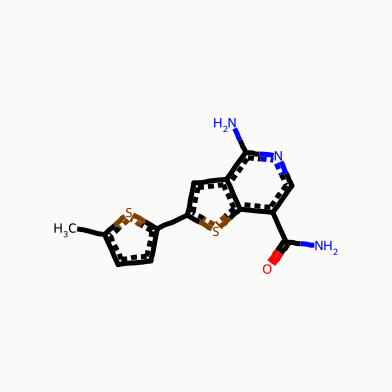 Cc1ccc(-c2cc3c(N)ncc(C(N)=O)c3s2)s1